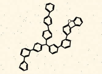 c1ccc(-c2ccc(-c3ccc(C(c4ccc(-c5cccc(-c6ccccc6)c5)cc4)c4cccc(-c5cccc(-c6ccc7oc8ccccc8c7c6)c5)c4)cc3)cc2)cc1